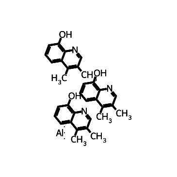 Cc1cnc2c(O)cccc2c1C.Cc1cnc2c(O)cccc2c1C.Cc1cnc2c(O)cccc2c1C.[Al]